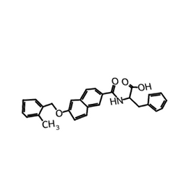 Cc1ccccc1COc1ccc2cc(C(=O)NC(Cc3ccccc3)C(=O)O)ccc2c1